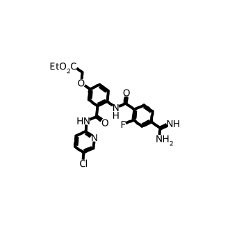 CCOC(=O)COc1ccc(NC(=O)c2ccc(C(=N)N)cc2F)c(C(=O)Nc2ccc(Cl)cn2)c1